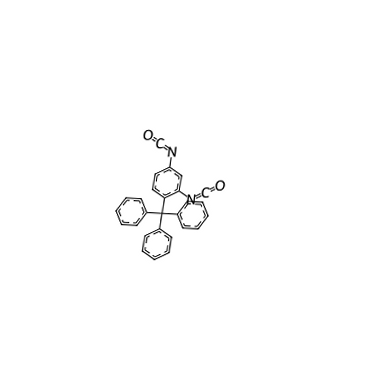 O=C=Nc1ccc(C(c2ccccc2)(c2ccccc2)c2ccccc2)c(N=C=O)c1